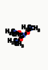 CN(C)CCOCCN(CCOCCN(C)C)CCOCCN(C)C